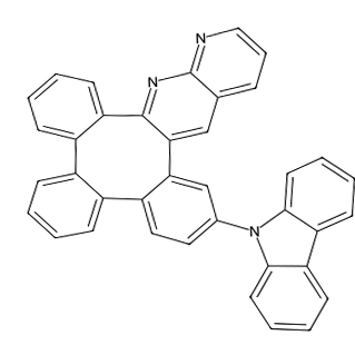 c1ccc2c(c1)-c1ccc(-n3c4ccccc4c4ccccc43)cc1-c1cc3cccnc3nc1-c1ccccc1-2